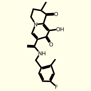 C=C(NCc1ccc(F)cc1C)c1cn2c(c(O)c1=O)C(=O)C(C)CC2